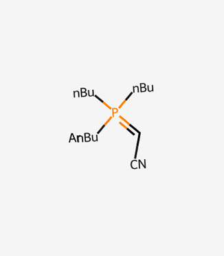 CCCCP(=CC#N)(CCCC)CCCC.[Ar]